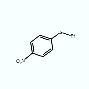 [CH2]CSc1ccc([N+](=O)[O-])cc1